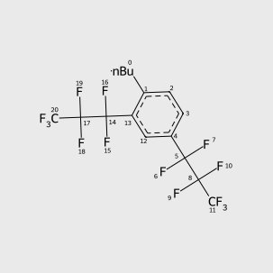 CCC[CH]c1ccc(C(F)(F)C(F)(F)C(F)(F)F)cc1C(F)(F)C(F)(F)C(F)(F)F